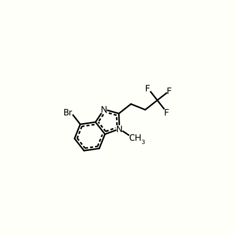 Cn1c(CCC(F)(F)F)nc2c(Br)cccc21